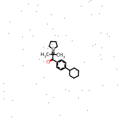 CC(C)(C(=O)c1ccc(C2CCCCC2)cc1)[SiH]1CCCC1